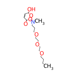 CCCCOCCOCCOCCCN(C)OC(=O)/C=C\C(=O)O